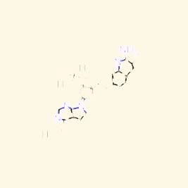 COc1ncnc2c1ccn2[C@H]1C[C@H](OC(C)(C)O)[C@@H](CCc2ccc3cc(Cl)c(N)nc3c2)O1